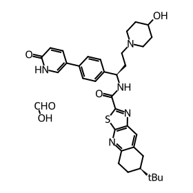 CC(C)(C)[C@H]1CCc2nc3sc(C(=O)N[C@H](CCN4CCC(O)CC4)c4ccc(-c5ccc(=O)[nH]c5)cc4)nc3cc2C1.O=CO